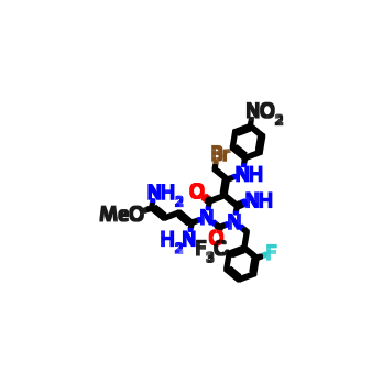 CO/C(N)=C/C=C(\N)N1C(=O)/C(=C(\CBr)Nc2ccc([N+](=O)[O-])cc2)C(=N)N(Cc2c(F)cccc2C(F)(F)F)C1=O